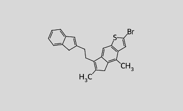 CC1=C(CCC2=Cc3ccccc3C2)c2cc3sc(Br)cc3c(C)c2C1